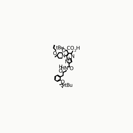 C=CCOC1(C)CCN(c2c(C(OC(C)(C)C)C(=O)O)c(C)nc3cc(C(=O)NCC(O)Cc4ccccc4O[Si](C)(C)C(C)(C)C)nn23)CC1